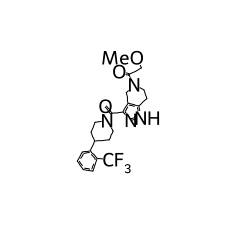 COCC(=O)N1CCc2[nH]nc(C(=O)N3CCC(c4ccccc4C(F)(F)F)CC3)c2C1